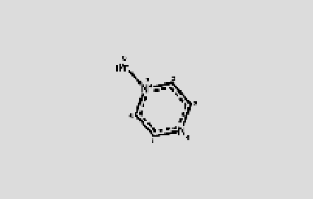 CC(C)[n+]1ccncc1